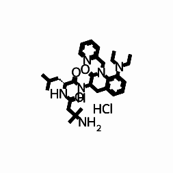 CCN(CC)c1cccc2c1N(Cc1ccccn1)C(=O)C(NC(=O)[C@@H](CC(C)C)NC(=O)CC(C)(C)N)C2.Cl